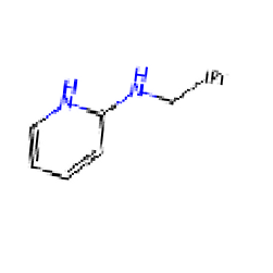 CC(C)CN[C]1C=CC=CN1